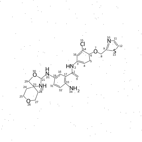 C=C(NC1=CCC(OCc2nccs2)C(Cl)=C1)c1cc(NC2NC3(CCOCC3)CO2)ccc1N